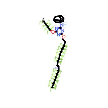 C[C@@H](F)C(F)(F)C(F)(F)C(F)(F)Oc1nc(NC23CC4CC(CC(C4)C2)C3)nc(OCCC(F)(F)C(F)(F)C(F)(F)C(F)(F)C(F)(F)C(F)(F)/C=C/C(F)(F)C(F)(F)C(F)(F)C(F)(F)C(F)(F)C(F)(F)F)n1